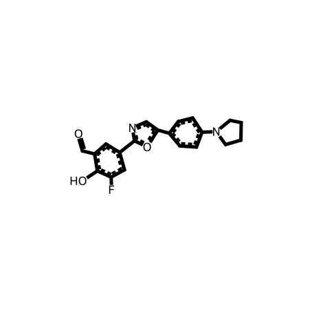 O=Cc1cc(-c2ncc(-c3ccc(N4CCCC4)cc3)o2)cc(F)c1O